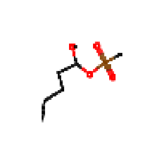 CCCCC([O])OS(C)(=O)=O